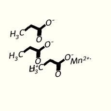 CCC(=O)[O-].CCC(=O)[O-].CCC(=O)[O-].[Li+].[Mn+2]